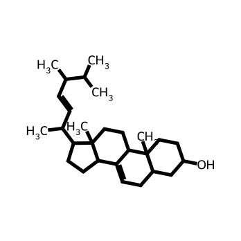 CC(C)C(C)C=CC(C)C1CCC2C3=CCC4CC(O)CCC4(C)C3CCC21C